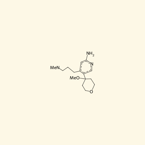 CNCCCc1cc(N)ncc1C1(OC)CCOCC1